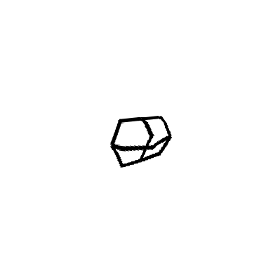 [CH]1C2CC3CC1CC(C2)C3